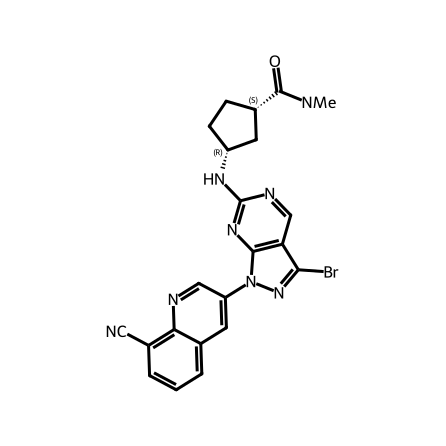 CNC(=O)[C@H]1CC[C@@H](Nc2ncc3c(Br)nn(-c4cnc5c(C#N)cccc5c4)c3n2)C1